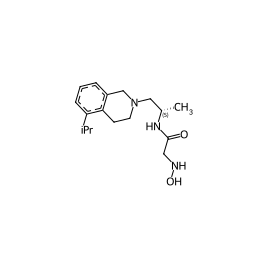 CC(C)c1cccc2c1CCN(C[C@H](C)NC(=O)CNO)C2